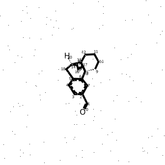 O=Cc1ccc2c(c1)[C@]13CCCC[C@@H]1[C@@H](CCC3)C2